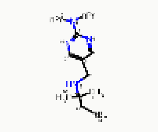 CCCN(CCC)c1ncc(CNC(C)(C)CC(C)(C)C)cn1